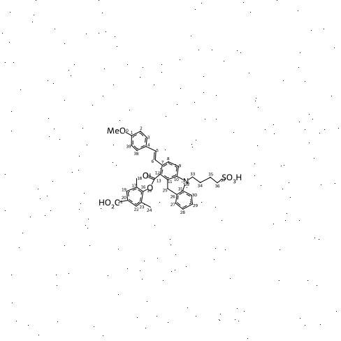 COc1ccc(C=Cc2ccc3c(c2C(=O)Oc2c(C)cc(C(=O)O)cc2C)Cc2ccccc2N3CCCCS(=O)(=O)O)cc1